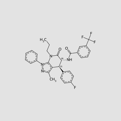 CCCN1C(=O)[C@H](NC(=O)c2cccc(C(F)(F)F)c2)[C@@H](c2ccc(F)cc2)c2c(C)nn(-c3ccccc3)c21